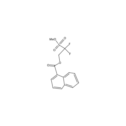 COS(=O)(=O)C(F)(F)COC(=O)c1cccc2ccccc12